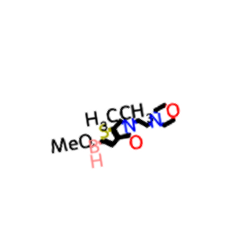 COBc1cc2c(s1)C(C)(C)N(CCN1CCOCC1)C2=O